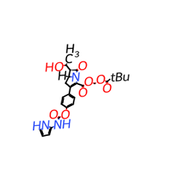 C[C@@H](O)[C@H]1C(=O)N2C(C(=O)OCOC(=O)C(C)(C)C)=C(c3ccc(OC(=O)Nc4ccc[nH]4)cc3)C[C@H]12